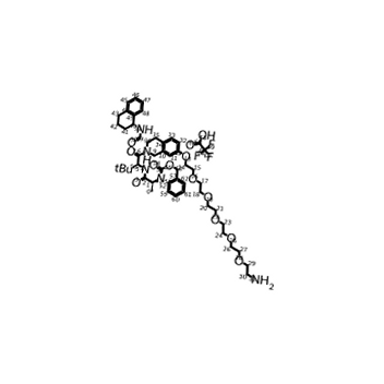 C[C@@H](C(=O)N[C@H](C(=O)N1Cc2cc(OCCOCCOCCOCCOCCOCCN)ccc2C[C@H]1C(=O)N[C@@H]1CCCc2ccccc21)C(C)(C)C)N(C)C(=O)OCc1ccccc1.O=C(O)C(F)(F)F